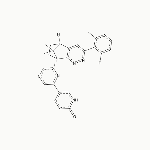 Cc1cccc(F)c1-c1cc2c(nn1)[C@@]1(c3cncc(-c4ccc(=O)[nH]c4)n3)CC[C@@H]2C1(C)C